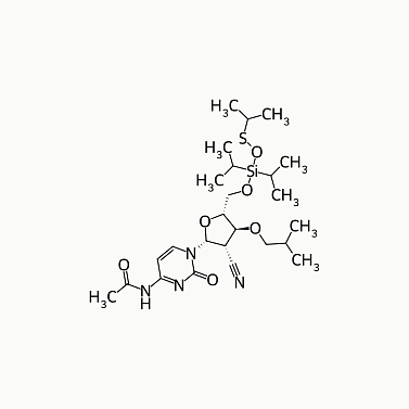 CC(=O)Nc1ccn([C@@H]2O[C@H](CO[Si](OSC(C)C)(C(C)C)C(C)C)[C@@H](OCC(C)C)[C@@H]2C#N)c(=O)n1